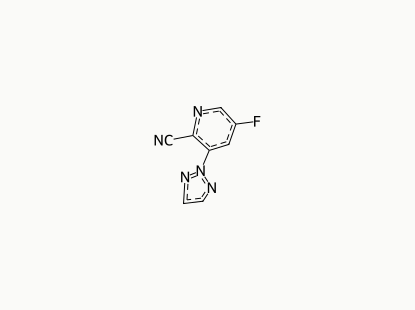 N#Cc1ncc(F)cc1-n1nccn1